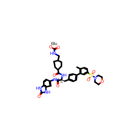 Cc1ccc(S(=O)(=O)N2CCOCC2)cc1-c1ccc(C[C@H](NC(=O)C2CCC(CNC(=O)OC(C)(C)C)CC2)C(=O)Nc2ccc3[nH]c(=O)[nH]c3c2)cc1